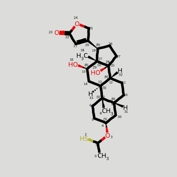 CC(S)O[C@H]1CC[C@@]2(C)[C@H](CC[C@@H]3[C@@H]2C[C@@H](O)[C@]2(C)[C@@H](C4=CC(=O)OC4)CC[C@]32O)C1